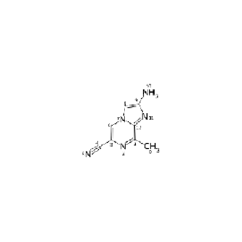 Cc1nc(C#N)cn2cc(N)nc12